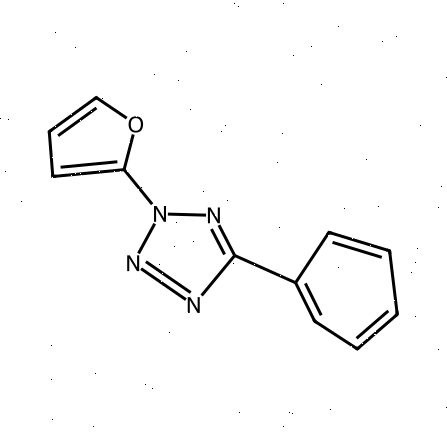 c1ccc(-c2nnn(-c3ccco3)n2)cc1